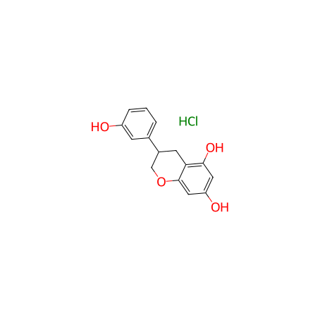 Cl.Oc1cccc(C2COc3cc(O)cc(O)c3C2)c1